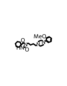 COc1ccccc1N1CCN(CCCCN2C(=O)NC3(CCCCC3)C2=O)CC1